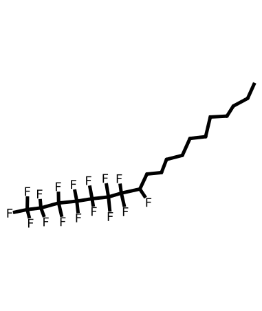 CCCCCCCCCCCC(F)C(F)(F)C(F)(F)C(F)(F)C(F)(F)C(F)(F)C(F)(F)C(F)(F)F